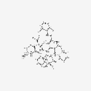 Cc1cccc(C)c1OCC(=O)NC(Cc1ccccc1)[C@H](C[C@@H](Cc1ccccc1)NC(=O)[C@H](C(C)C)N1CCCNC1=O)OC(C)OP(=O)([O-])[O-].[Na+].[Na+]